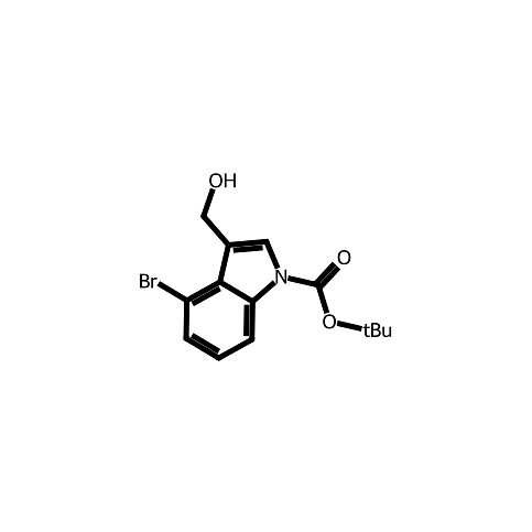 CC(C)(C)OC(=O)n1cc(CO)c2c(Br)cccc21